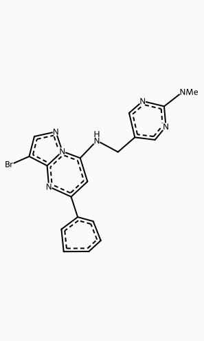 CNc1ncc(CNc2cc(-c3ccccc3)nc3c(Br)cnn23)cn1